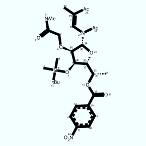 CNC(=O)CO[C@@H]1[C@H](O[Si](C)(C)C(C)(C)C)[C@@H]([C@H](C)OC(=O)c2ccc([N+](=O)[O-])cc2)O[C@H]1N(/C=C(/C)C(C)=O)C(C)=O